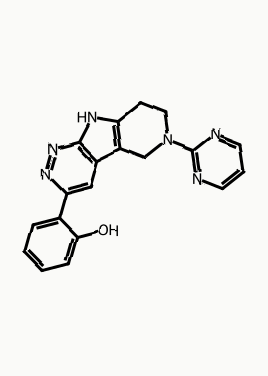 Oc1ccccc1-c1cc2c3c([nH]c2nn1)CCN(c1ncccn1)C3